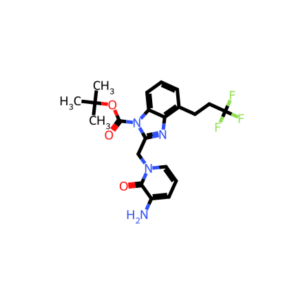 CC(C)(C)OC(=O)n1c(Cn2cccc(N)c2=O)nc2c(CCC(F)(F)F)cccc21